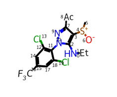 CCNc1c([S+](C)[O-])c(C(C)=O)nn1-c1c(Cl)cc(C(F)(F)F)cc1Cl